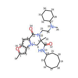 Cc1cc2c(cc3n2CC(C)(C(=O)NC2CCCCCCC2)N(CCN(C)C2CCCCC2)C3=O)o1